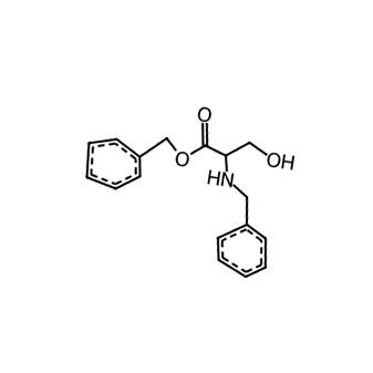 O=C(OCc1ccccc1)C(CO)NCc1ccccc1